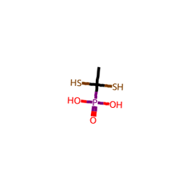 CC(S)(S)P(=O)(O)O